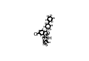 O=C(c1ccc(Cl)cc1S(=O)(=O)Nc1csnn1)N1CCC(c2ccccc2)CC1